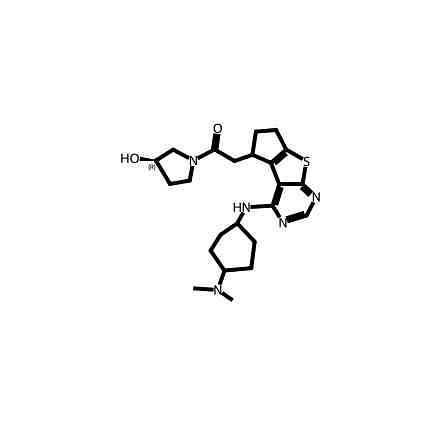 CN(C)C1CCC(Nc2ncnc3sc4c(c23)C(CC(=O)N2CC[C@@H](O)C2)CC4)CC1